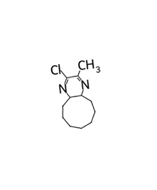 CC1=NC2CCCCCCCC2N=C1Cl